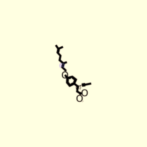 CC#C[C@H](CC(=O)OC)c1ccc(OC/C=C(\C)CCC=C(C)C)cc1